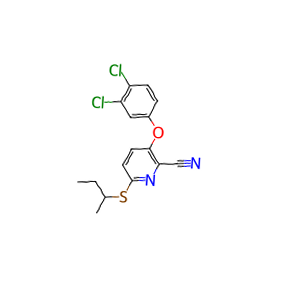 CCC(C)Sc1ccc(Oc2ccc(Cl)c(Cl)c2)c(C#N)n1